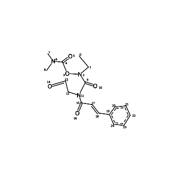 CCN(OC(=O)N(C)C)C(=O)N(C[C]=O)C(=O)C=Cc1ccccc1